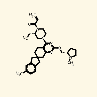 C=CC(=O)N1CCN(c2nc(OC[C@@H]3CCCN3C)nc3c2CCC2(Cc4ccc(C)cc4C2)C3)C[C@@H]1CC#N